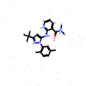 Cc1ccc(C)c(-n2nc(C(C)(C)C)cc2Nc2ncccc2C(=O)N(C)C)c1